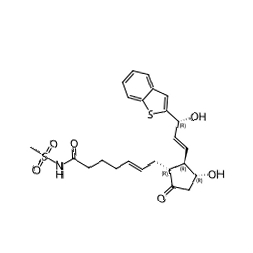 CS(=O)(=O)NC(=O)CCCC=CC[C@H]1C(=O)C[C@@H](O)[C@@H]1C=C[C@@H](O)c1cc2ccccc2s1